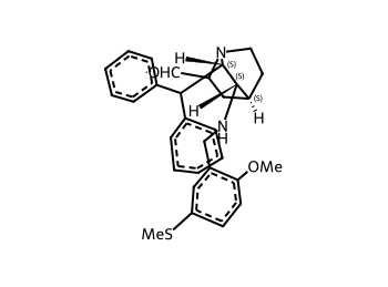 COc1ccc(SC)cc1CN[C@H]1[C@H]2CCN(C([C]=O)C2)[C@H]1C(c1ccccc1)c1ccccc1